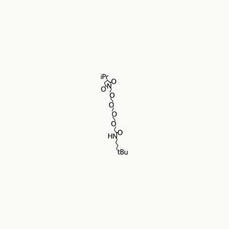 CC(C)C1CC(=O)N(CCOCCOCCOCCOCCC(=O)NCCCCC(C)(C)C)C1=O